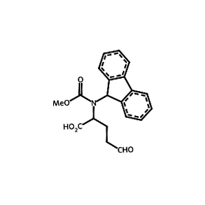 COC(=O)N(C(CCC=O)C(=O)O)C1c2ccccc2-c2ccccc21